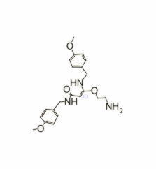 COc1ccc(CNC(=O)/C=C(\NCc2ccc(OC)cc2)OCCN)cc1